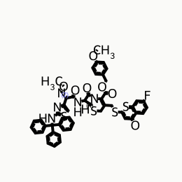 CO/N=C(\C(=O)NC1C(=O)N2C(C(=O)OCc3ccc(OC)cc3)=C(CSc3cc(=O)c4ccc(F)cc4s3)CS[C@H]12)c1csc(NC(c2ccccc2)(c2ccccc2)c2ccccc2)n1